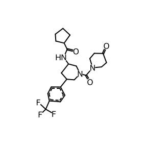 O=C1CCN(C(=O)N2CC(NC(=O)C3CCCC3)CC(c3ccc(C(F)(F)F)cc3)C2)CC1